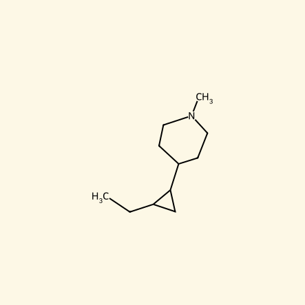 CCC1CC1C1CCN(C)CC1